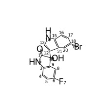 O=C1Nc2ccc(F)cc2C1(O)c1c[nH]c2ccc(Br)cc12